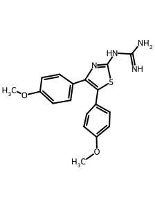 COc1ccc(-c2nc(NC(=N)N)sc2-c2ccc(OC)cc2)cc1